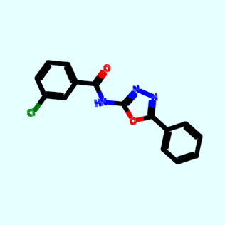 O=C(Nc1nnc(-c2ccccc2)o1)c1cccc(Cl)c1